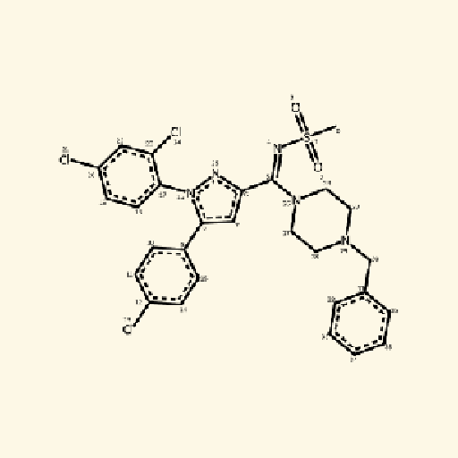 CS(=O)(=O)N=C(c1cc(-c2ccc(Cl)cc2)n(-c2ccc(Cl)cc2Cl)n1)N1CCN(Cc2ccccc2)CC1